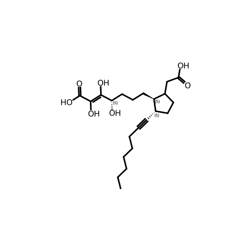 CCCCCCC#C[C@H]1CCC(CC(=O)O)[C@@H]1CCC[C@H](O)C(O)=C(O)C(=O)O